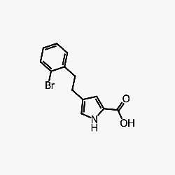 O=C(O)c1cc(CCc2ccccc2Br)c[nH]1